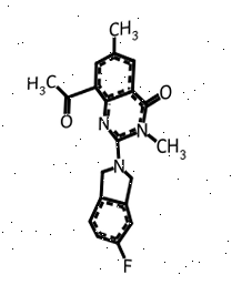 CC(=O)c1cc(C)cc2c(=O)n(C)c(N3Cc4ccc(F)cc4C3)nc12